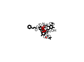 COc1cc2c(cc1OC(=O)/C=C/c1ccccc1)CCN[C@]21CS[C@@H]2c3c(O)c(C)c4c(c3[C@H](COC1=O)N1C2[C@H]2c3c(cc(C)c(OC)c3OC(=O)OC(C)(C)C)C[C@@H]([C@@H]1C#N)N2C)OCO4